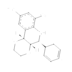 FC(F)(F)c1cc(Br)c2c(c1)[C@H]1OCCO[C@H]1[C@H](C1C=CC=CC1)N2